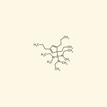 CCCC1=C[C](CCC)([Zr]([N](C)CC)([N](C)CC)[N](C)CC)C(CCC)=C1